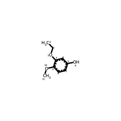 CCOc1cc(O)ccc1OC